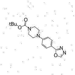 CC(C)(C)OC(=O)N1CCN(c2ccc(-c3nnco3)cc2)CC1